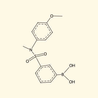 COc1ccc(N(C)S(=O)(=O)c2cccc(B(O)O)c2)cc1